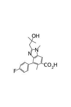 Cc1c(C(=O)O)cc2c(nc(CC(C)(C)O)n2C)c1-c1ccc(F)cc1